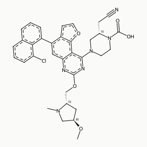 CO[C@@H]1C[C@@H](COc2nc(N3CCN(C(=O)O)[C@@H](CC#N)C3)c3c(cc(-c4cccc5cccc(Cl)c45)c4ccoc43)n2)N(C)C1